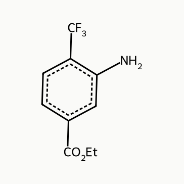 CCOC(=O)c1ccc(C(F)(F)F)c(N)c1